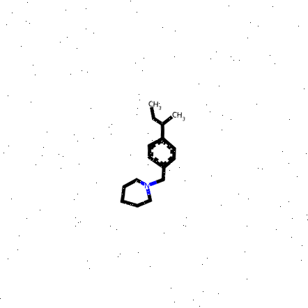 CCC(C)c1ccc(CN2CCCCC2)cc1